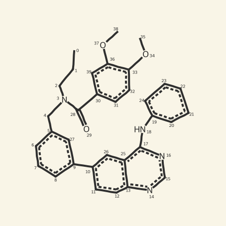 CCCN(Cc1cccc(-c2ccc3ncnc(Nc4ccccc4)c3c2)c1)C(=O)c1ccc(OC)c(OC)c1